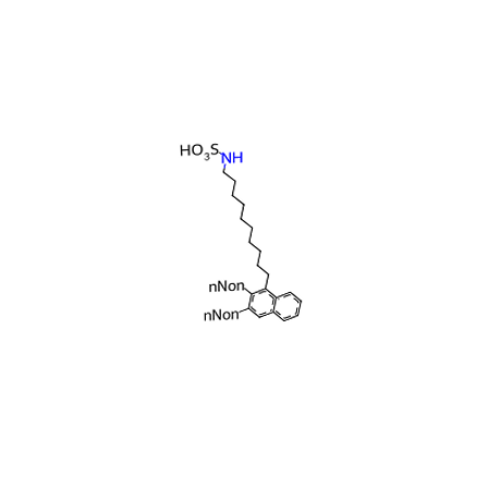 CCCCCCCCCc1cc2ccccc2c(CCCCCCCCCCNS(=O)(=O)O)c1CCCCCCCCC